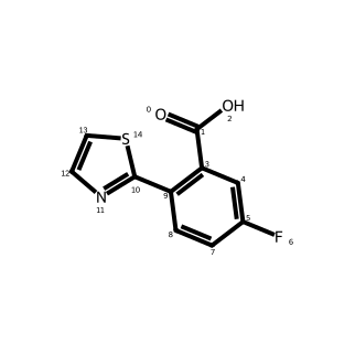 O=C(O)c1cc(F)ccc1-c1nccs1